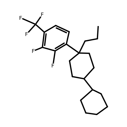 CCCC1(c2ccc(C(F)(F)F)c(F)c2F)CCC(C2CCCCC2)CC1